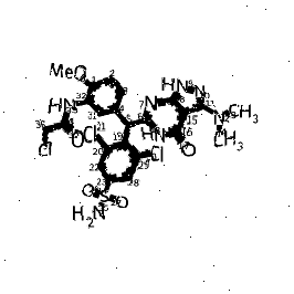 COc1ccc(C(c2nc3[nH]nc(N(C)C)c3c(=O)[nH]2)c2c(Cl)cc(S(N)(=O)=O)cc2Cl)cc1NC(=O)CCl